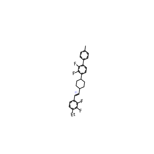 CCc1ccc(/C=C/C2CCC(c3ccc(-c4ccc(C)cc4)c(F)c3F)CC2)c(F)c1F